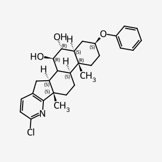 C[C@]12CC[C@H](Oc3ccccc3)C[C@@H]1[C@@H](O)[C@H](O)C1[C@@H]2CC[C@]2(C)c3nc(Cl)ccc3C[C@@H]12